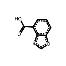 O=C(O)c1cccc2ocbc12